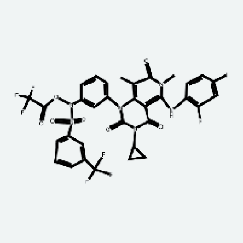 Cc1c(=O)n(C)c(Nc2ccc(I)cc2F)c2c(=O)n(C3CC3)c(=O)n(-c3cccc(N(OC(=O)C(F)(F)F)S(=O)(=O)c4cccc(C(F)(F)F)c4)c3)c12